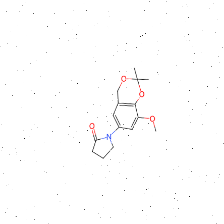 COc1cc(N2CCCC2=O)cc2c1OC(C)(C)OC2